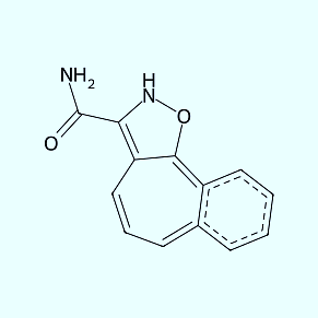 NC(=O)C1=C2C=CC=c3ccccc3=C2ON1